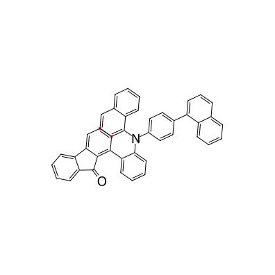 O=C1c2ccccc2-c2cccc(-c3ccccc3N(c3ccc(-c4cccc5ccccc45)cc3)c3cccc4ccccc34)c21